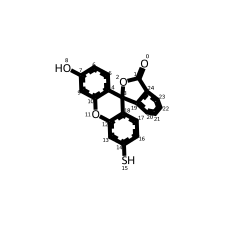 O=C1OC2(c3ccc(O)cc3Oc3cc(S)ccc32)c2ccccc21